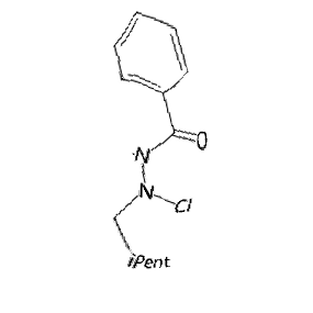 CCCC(C)CN(Cl)[N]C(=O)c1ccccc1